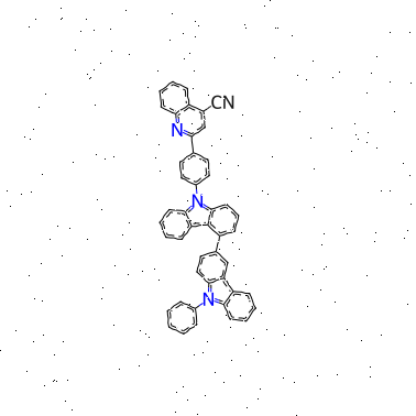 N#Cc1cc(-c2ccc(-n3c4ccccc4c4c(-c5ccc6c(c5)c5ccccc5n6-c5ccccc5)cccc43)cc2)nc2ccccc12